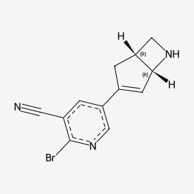 N#Cc1cc(C2=C[C@H]3NC[C@H]3C2)cnc1Br